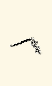 CCCCCCCCCCC[CH2][Na].O=S(=O)(O)O.O=S(=O)(O)O.O=S(=O)([O-])[O-].[Li+].[Na+]